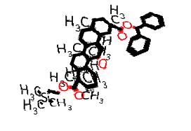 C[C@H]1CC[C@@]2(C)[C@@H](CC[C@]3(C)[C@@H]2C(=O)C=C2[C@@H]4C[C@@](C)(C(=O)OC(c5ccccc5)c5ccccc5)CC[C@]4(C)CC[C@]23C)[C@]1(C)C(=O)OCC[Si](C)(C)C